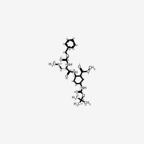 COC(=O)C1CC(NC(=O)OC(C)(C)C)CCC1NC(=O)[C@H](CSC)NC(=O)OCc1ccccc1